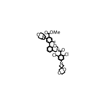 COC(=O)c1cc(F)c(-c2cccc3c2OCN(C(=O)c2c(Cl)cc(N4CC5(COCCO5)C4)cc2Cl)C3)cc1N1C2CCC1COC2